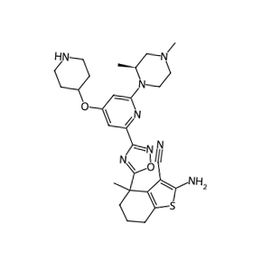 C[C@H]1CN(C)CCN1c1cc(OC2CCNCC2)cc(-c2noc(C3(C)CCCc4sc(N)c(C#N)c43)n2)n1